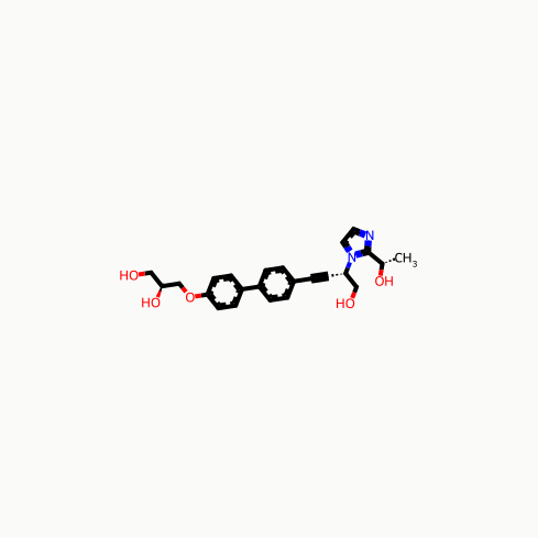 C[C@H](O)c1nccn1[C@@H](C#Cc1ccc(-c2ccc(OC[C@@H](O)CO)cc2)cc1)CO